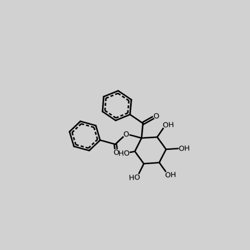 O=C(OC1(C(=O)c2ccccc2)C(O)C(O)C(O)C(O)C1O)c1ccccc1